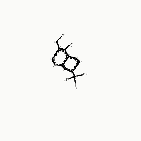 Oc1c(CCl)cnc2cc(C(F)(F)F)ccc12